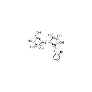 OC[C@H]1O[C@@H](OC[C@H]2O[C@H](OCc3ccccc3Br)[C@H](O)[C@@H](O)[C@@H]2O)[C@H](O)[C@@H](O)[C@@H]1O